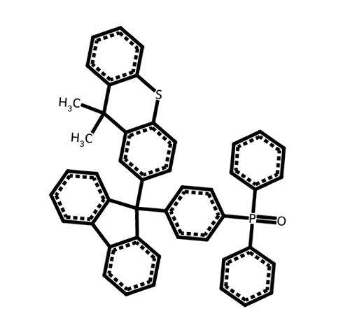 CC1(C)c2ccccc2Sc2ccc(C3(c4ccc(P(=O)(c5ccccc5)c5ccccc5)cc4)c4ccccc4-c4ccccc43)cc21